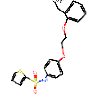 O=C(O)Cc1ccccc1OCCOc1ccc(NS(=O)(=O)c2cccs2)cc1